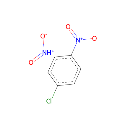 O=[N+]([O-])c1ccc(Cl)cc1.O=[NH+][O-]